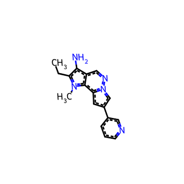 CCc1c(N)c2cnn3cc(-c4cccnc4)cc3c2n1C